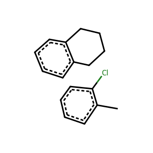 Cc1ccccc1Cl.c1ccc2c(c1)CCCC2